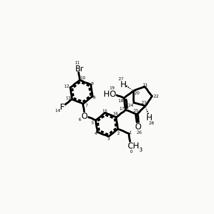 CCc1ccc(Oc2ccc(Br)cc2F)cc1C1=C(O)[C@H]2CC[C@H](C2)C1=O